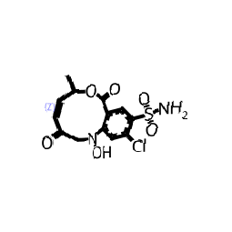 CC1/C=C\C(=O)CN(O)c2cc(Cl)c(S(N)(=O)=O)cc2C(=O)O1